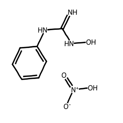 N=C(NO)Nc1ccccc1.O=[N+]([O-])O